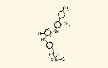 Cc1cc(Nc2ncc(Cl)c(Nc3ccc(CNS(=O)(=O)NC4CC4)cc3)n2)ccc1N1CCN(C)CC1